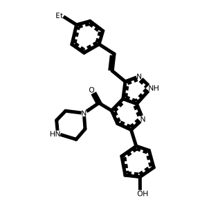 CCc1ccc(C=Cc2n[nH]c3nc(-c4ccc(O)cc4)cc(C(=O)N4CCNCC4)c23)cc1